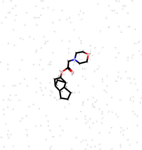 O=C(CN1CCOCC1)OC1CC2CC1C1CCCC21